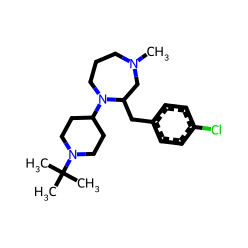 CN1CCCN(C2CCN(C(C)(C)C)CC2)C(Cc2ccc(Cl)cc2)C1